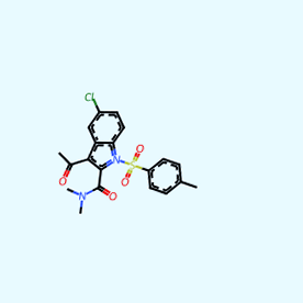 CC(=O)c1c(C(=O)N(C)C)n(S(=O)(=O)c2ccc(C)cc2)c2ccc(Cl)cc12